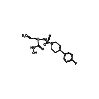 C=CC[C@@H](NS(=O)(=O)N1CC=C(c2ccc(F)cc2)CC1)C(=O)NO